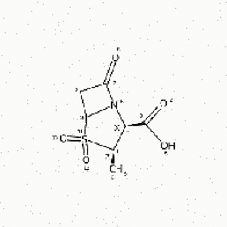 C[C@@H]1[C@H](C(=O)O)N2C(=O)CC2S1(=O)=O